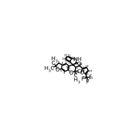 CC1(C)Cc2cc3c(cc2O1)OC(C)(C)C(Cc1ccc(C(F)(F)F)o1)C31C(=O)Nc2ccccc21